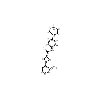 Cc1nnccc1N1CC(C(=O)Nc2ccc(C3CCNCC3)cc2)C1